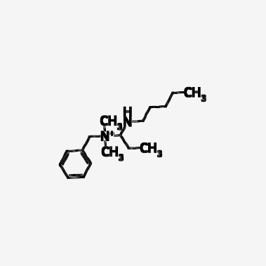 CCCCCNC(CC)[N+](C)(C)Cc1ccccc1